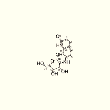 O=c1ccc2ccc(N[C@@H]3C(O)OC(CO)[C@@H](O)C3O)cc2[nH]1